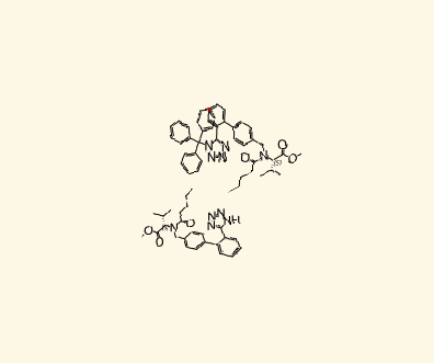 CCCCC(=O)N(Cc1ccc(-c2ccccc2-c2nnn[nH]2)cc1)[C@H](C(=O)OC)C(C)C.CCCCC(=O)N(Cc1ccc(-c2ccccc2-c2nnnn2C(c2ccccc2)(c2ccccc2)c2ccccc2)cc1)[C@H](C(=O)OC)C(C)C